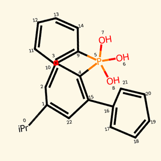 CC(C)c1ccc(P(O)(O)(O)c2ccccc2)c(-c2ccccc2)c1